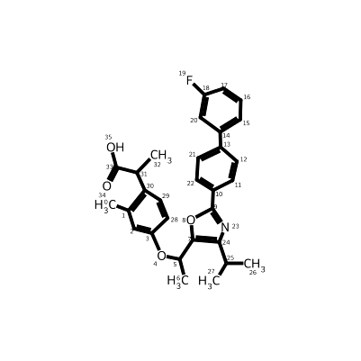 Cc1cc(OC(C)c2oc(-c3ccc(-c4cccc(F)c4)cc3)nc2C(C)C)ccc1C(C)C(=O)O